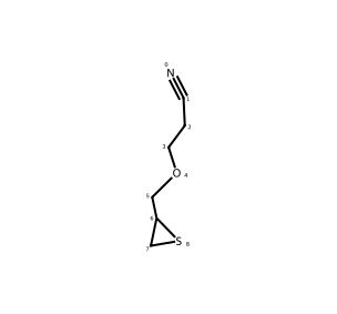 N#CCCOCC1CS1